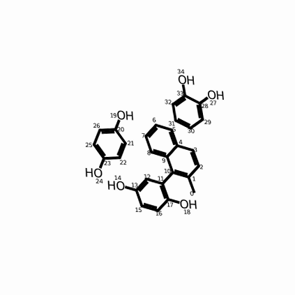 Cc1ccc2ccccc2c1-c1cc(O)ccc1O.Oc1ccc(O)cc1.Oc1ccccc1O